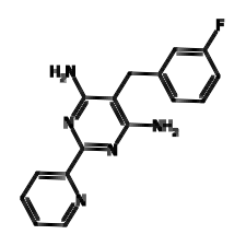 Nc1nc(-c2ccccn2)nc(N)c1Cc1cccc(F)c1